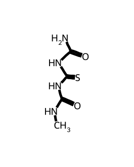 CNC(=O)NC(=S)NC(N)=O